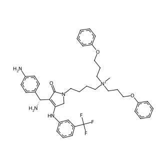 C[N+](CCCCN1CC(Nc2cccc(C(F)(F)F)c2)=C([C@H](N)c2ccc(N)cc2)C1=O)(CCCOc1ccccc1)CCCOc1ccccc1